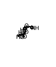 CC(C)CC(=O)NC(CNC(=O)[C@@H]1CCCN(C(=O)CCC2CCNCC2)C1)C(=O)O